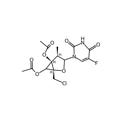 CC(=O)OC1[C@@]2(CCl)OC(n3cc(F)c(=O)[nH]c3=O)[C@H](C)[C@@]12OC(C)=O